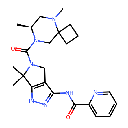 C[C@H]1CN(C)C2(CCC2)CN1C(=O)N1Cc2c(NC(=O)c3ccccn3)n[nH]c2C1(C)C